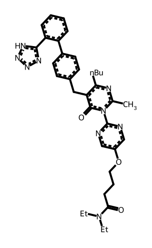 CCCCc1nc(C)n(-c2ncc(OCCCC(=O)N(CC)CC)cn2)c(=O)c1Cc1ccc(-c2ccccc2-c2nnn[nH]2)cc1